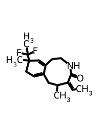 C/C=C1\C(=O)NCCC2=CC(C)(C(C)(F)F)CC=C2CC1C